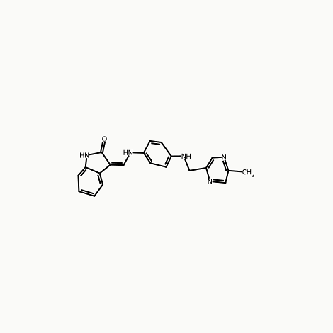 Cc1cnc(CNc2ccc(NC=C3C(=O)Nc4ccccc43)cc2)cn1